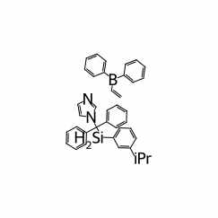 C=CB(c1ccccc1)c1ccccc1.CC(C)c1cccc([SiH2]C(c2ccccc2)(c2ccccc2)n2ccnc2)c1